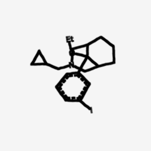 CCOC1(c2cccc(I)c2)C2CCCC1CN(CC1CC1)C2